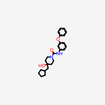 O=C(Nc1cccc(Oc2ccccc2)c1)N1CCC(O)(CC2CCCC2)CC1